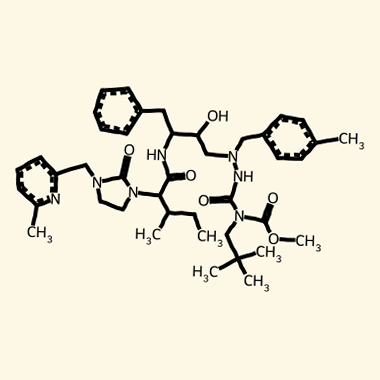 CCC(C)C(C(=O)NC(Cc1ccccc1)C(O)CN(Cc1ccc(C)cc1)NC(=O)N(CC(C)(C)C)C(=O)OC)N1CCN(Cc2cccc(C)n2)C1=O